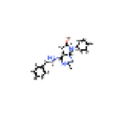 Cc1nc(NCCc2ccccc2)c2c(n1)N(c1ccccc1)C(=O)C2